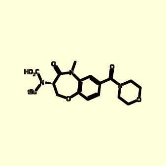 CN1C(=O)[C@@H](N(C(=O)O)C(C)(C)C)COc2ccc(C(=O)N3CCOCC3)cc21